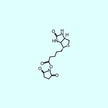 O=C1NC2[C@H](CS[C@H]2CCCCC(=O)ON2C(=O)CCC2=O)N1